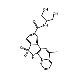 Cc1cc2c(c3ncccc13)NS(=O)(=O)c1ccc(C(=O)NC(CO)CO)cc1-2